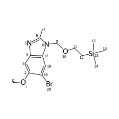 COc1cc2nc(C)n(COCC[Si](C)(C)C)c2cc1Br